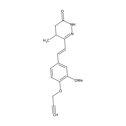 C#CCOc1ccc(C=CC2=NNC(=O)CC2C)cc1OC